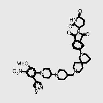 COc1cc(N2CCC(N3CCC(CN4CCC5(CCCN(c6ccc7c(c6)C(=O)N(C6CCC(=O)NC6=O)C7=O)C5)CC4)CC3)CC2)c(-c2cnn(C)c2)cc1[N+](=O)[O-]